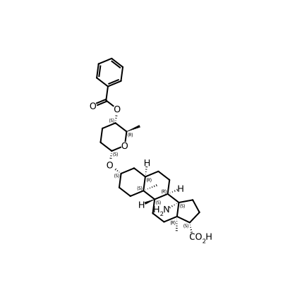 C[C@H]1O[C@H](O[C@H]2CC[C@@]3(C)[C@H](CC[C@@H]4[C@@H]3CC[C@]3(C)[C@@H](C(=O)O)CC[C@]43N)C2)CC[C@@H]1OC(=O)c1ccccc1